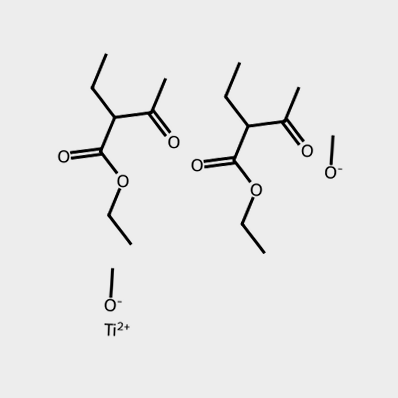 CCOC(=O)C(CC)C(C)=O.CCOC(=O)C(CC)C(C)=O.C[O-].C[O-].[Ti+2]